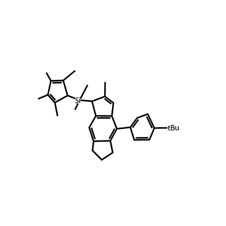 CC1=Cc2c(cc3c(c2-c2ccc(C(C)(C)C)cc2)CCC3)C1[Si](C)(C)C1C(C)=C(C)C(C)=C1C